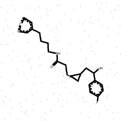 CCCC(CC1C[C@@H]1CCC(=O)NCCCCc1cccnc1)c1ccc(F)cc1